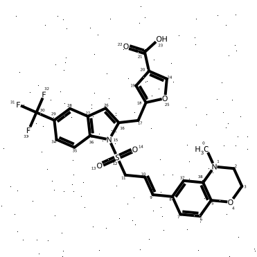 CN1CCOc2ccc(C=CCS(=O)(=O)n3c(Cc4cc(C(=O)O)co4)cc4cc(C(F)(F)F)ccc43)cc21